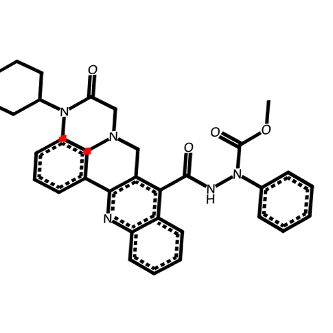 COC(=O)N(NC(=O)c1c(CN2CCN(C3CCCCC3)C(=O)C2)c(-c2ccccc2)nc2ccccc12)c1ccccc1